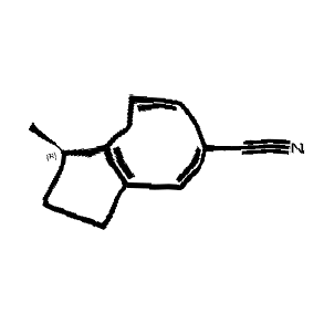 C[C@@H]1CCc2cc(C#N)ccc21